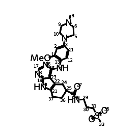 COc1cc(N2CCN(C)CC2)ccc1Nc1ncnc2[nH]c3c(c12)CC(C(=O)NCCCS(C)(=O)=O)CC3